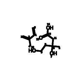 C=CC(=C)C.CC(O)(CCO)CC(=O)O